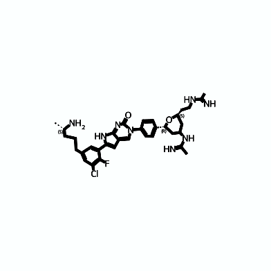 CC(=N)NCC[C@H]1CC(NC(C)=N)C[C@H](c2ccc(-n3cc4cc(-c5cc(CCC[C@H](C)N)cc(Cl)c5F)[nH]c4nc3=O)cc2)O1